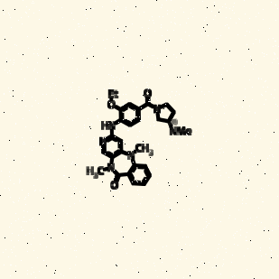 CCOc1cc(C(=O)N2CC[C@@H](NC)C2)ccc1Nc1cc2c(cn1)N(C)C(=O)c1ccccc1N2C